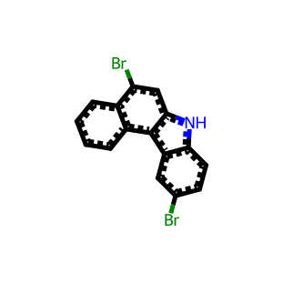 Brc1ccc2[nH]c3cc(Br)c4ccccc4c3c2c1